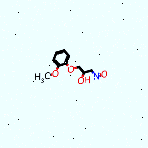 COc1ccccc1OCC(O)CN=O